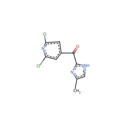 Cc1c[nH]c(C(=O)c2cc(Cl)nc(Cl)c2)n1